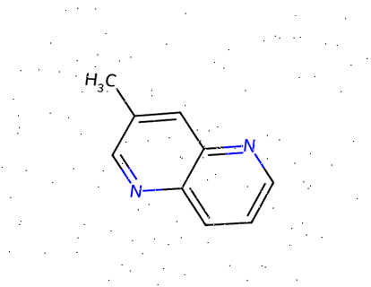 Cc1cnc2cccnc2c1